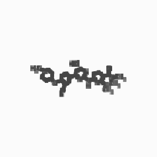 COc1nc(Nc2nccc(-c3ccc(OC4CCN(C)CC4)c(C#N)c3)n2)ccc1C(=O)N(C)C.Cl